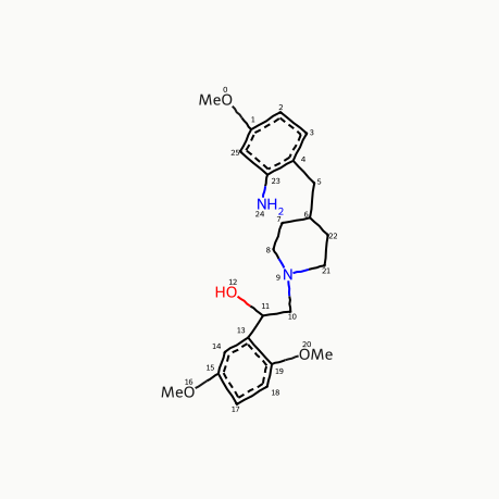 COc1ccc(CC2CCN(CC(O)c3cc(OC)ccc3OC)CC2)c(N)c1